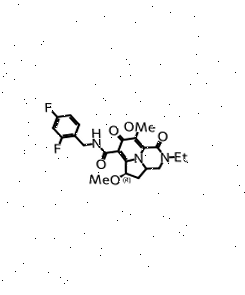 CCN1CC2C[C@@H](OC)c3c(C(=O)NCc4ccc(F)cc4F)c(=O)c(OC)c(n32)C1=O